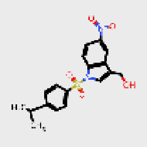 CC(C)c1ccc(S(=O)(=O)n2cc(CO)c3cc([N+](=O)[O-])ccc32)cc1